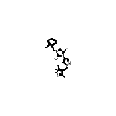 Cc1ccccc1CN1CC(=O)N(c2cnn(Cc3c(C)noc3C)c2)C1=O